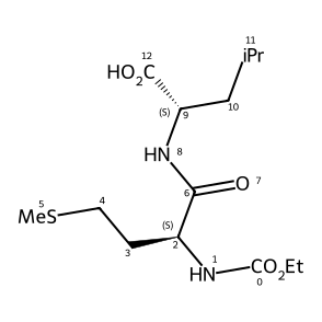 CCOC(=O)N[C@@H](CCSC)C(=O)N[C@@H](CC(C)C)C(=O)O